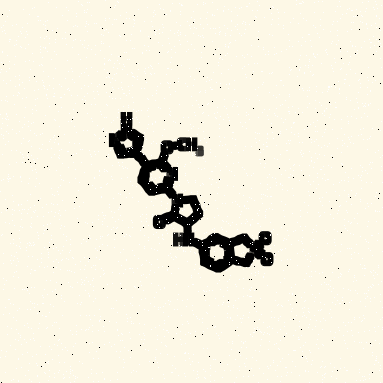 COc1nc(N2CCC(Nc3ccc4c(c3)CS(=O)(=O)C4)C2=O)ccc1-c1cn[nH]c1